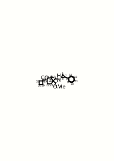 COCC1(CN[C@@H]2CC2c2ccccc2)CCN(C2(C(=O)O)CCC2)CC1